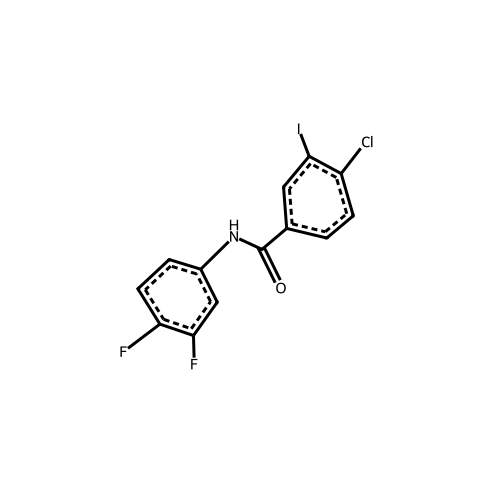 O=C(Nc1ccc(F)c(F)c1)c1ccc(Cl)c(I)c1